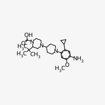 COc1cc(N2CCC(N3CCN(C(=O)O)C(C(C)(C)C)C3)CC2)c(C2CC2)cc1N